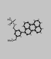 COCc1cc(COP(C)(=O)O)cc(-c2ccc3c4cccc5cccc(c6cccc2c63)c54)c1